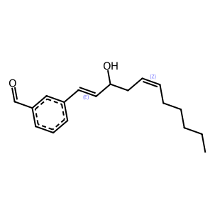 CCCCC/C=C\CC(O)/C=C/c1cccc(C=O)c1